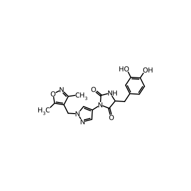 Cc1noc(C)c1Cn1cc(N2C(=O)NC(Cc3ccc(O)c(O)c3)C2=O)cn1